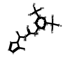 CC1=CC=CC1[C@@H](C)NC(=S)Nc1cc(C(F)(F)F)cc(C(F)(F)F)c1